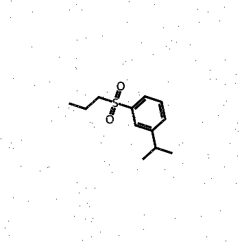 CCCS(=O)(=O)c1cccc(C(C)C)c1